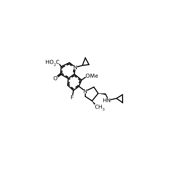 COc1c(N2C[C@@H](CNC3CC3)[C@@H](C)C2)c(F)cc2c(=O)c(C(=O)O)cn(C3CC3)c12